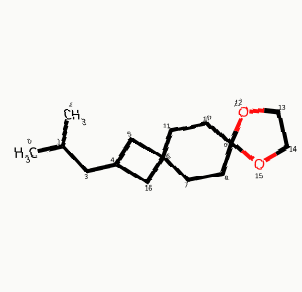 CC(C)CC1CC2(CCC3(CC2)OCCO3)C1